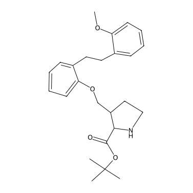 COc1ccccc1CCc1ccccc1OCC1CCNC1C(=O)OC(C)(C)C